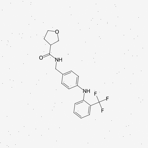 O=C(NCc1ccc(Nc2ccccc2C(F)(F)F)cc1)C1CCOC1